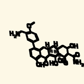 COc1ccc(-c2ccc(O)c3c2C[C@H]2C[C@H]4CC(O)C(C(N)=O)C(=O)[C@@]4(O)C(O)=C2C3=O)cc1CN